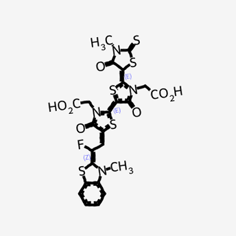 CN1C(=O)/C(=c2\s/c(=c3/sc(=C/C(F)=C4/Sc5ccccc5N4C)c(=O)n3CC(=O)O)c(=O)n2CC(=O)O)SC1=S